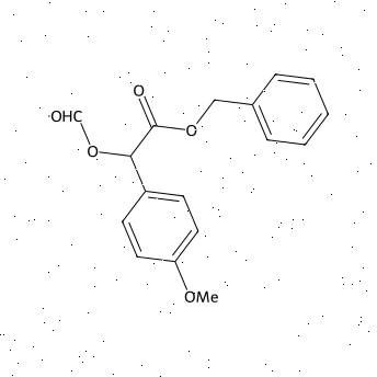 COc1ccc(C(O[C]=O)C(=O)OCc2ccccc2)cc1